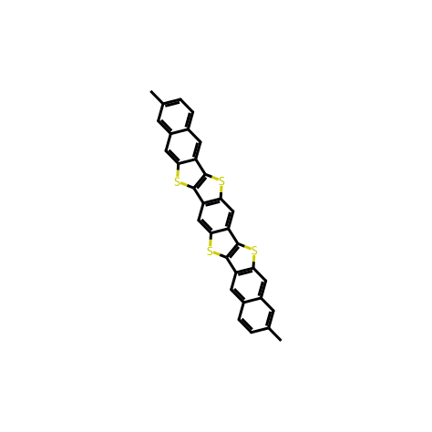 Cc1ccc2cc3c(cc2c1)sc1c2cc4sc5c6cc7ccc(C)cc7cc6sc5c4cc2sc31